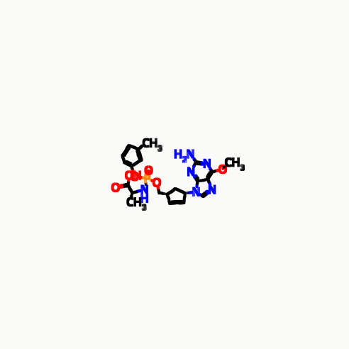 COc1nc(N)nc2c1ncn2[C@H]1C=C[C@@H](COP(=O)(N[C@@H](C)C(=O)O)Oc2cccc(C)c2)C1